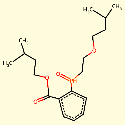 CC(C)CCOCC[PH](=O)c1ccccc1C(=O)OCCC(C)C